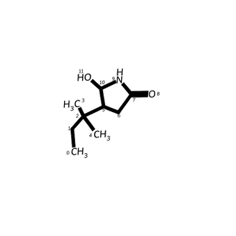 CCC(C)(C)C1CC(=O)NC1O